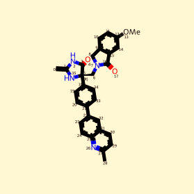 C=C1NC(=O)[C@](CN2Cc3ccc(OC)cc3C2=O)(c2ccc(-c3ccc4nc(C)ccc4c3)cc2)N1